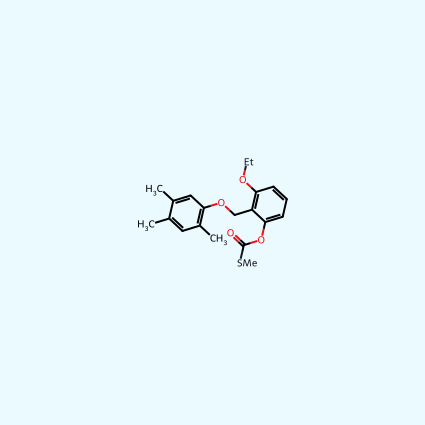 CCOc1cccc(OC(=O)SC)c1COc1cc(C)c(C)cc1C